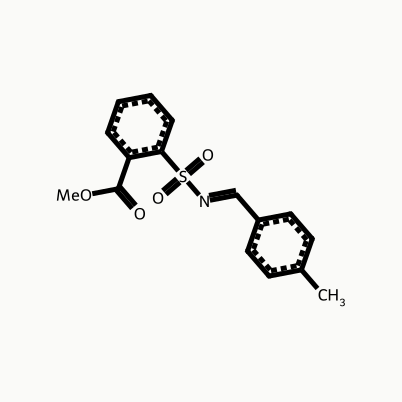 COC(=O)c1ccccc1S(=O)(=O)/N=C/c1ccc(C)cc1